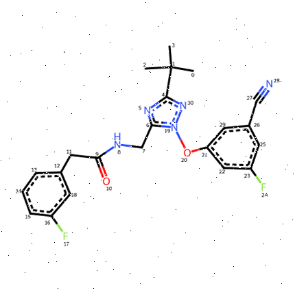 CC(C)(C)c1nc(CNC(=O)Cc2cccc(F)c2)n(Oc2cc(F)cc(C#N)c2)n1